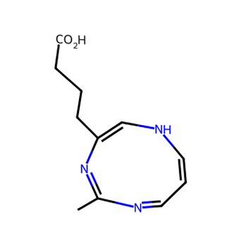 Cc1nccc[nH]cc(CCCC(=O)O)n1